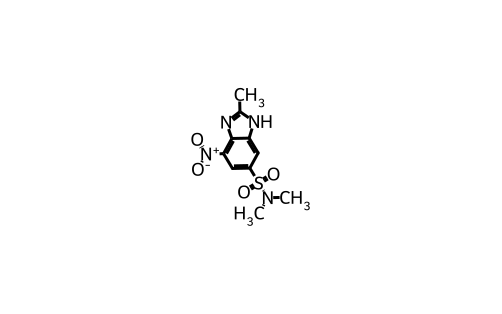 Cc1nc2c([N+](=O)[O-])cc(S(=O)(=O)N(C)C)cc2[nH]1